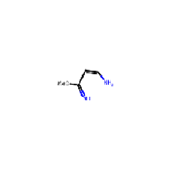 COC(=N)/C=C\N